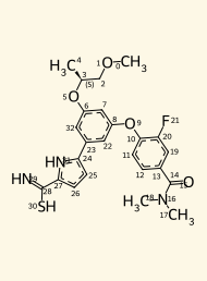 COC[C@H](C)Oc1cc(Oc2ccc(C(=O)N(C)C)cc2F)cc(-c2ccc(C(=N)S)[nH]2)c1